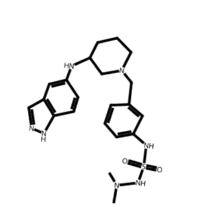 CN(C)NS(=O)(=O)Nc1cccc(CN2CCCC(Nc3ccc4[nH]ncc4c3)C2)c1